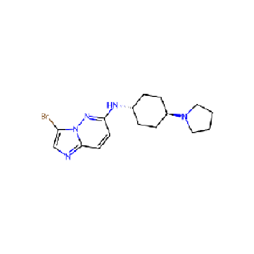 Brc1cnc2ccc(N[C@H]3CC[C@H](N4CCCC4)CC3)nn12